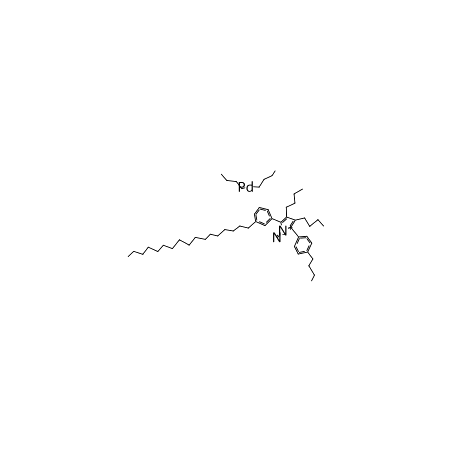 CCCCCCCCCCCCCCCCCc1cccc(C2=C(CCCC)C(CCCC)=C(c3ccc(CCCC)cc3)[N+]2=[N-])c1.CCC[CH2][Pd][CH2]CCC